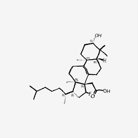 CC(C)CCC[C@@H](C)[C@H]1CC(F)[C@@]2(CC(=O)O)C3=C(CC[C@]12C)[C@@]1(C)CC[C@H](O)C(C)(C)[C@@H]1CC3